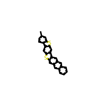 Cc1ccc2c(c1)sc1cc3c(cc12)sc1cc2cc4ccccc4cc2cc13